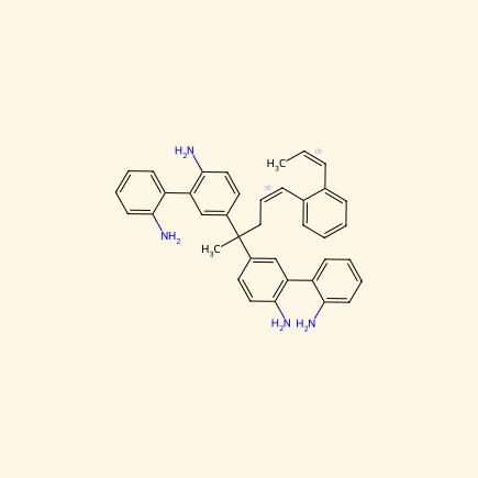 C/C=C\c1ccccc1/C=C\CC(C)(c1ccc(N)c(-c2ccccc2N)c1)c1ccc(N)c(-c2ccccc2N)c1